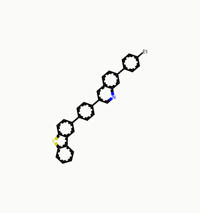 CCc1ccc(-c2ccc3cc(-c4ccc(-c5ccc6sc7ccccc7c6c5)cc4)cnc3c2)cc1